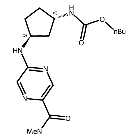 CCCCOC(=O)N[C@H]1CC[C@H](Nc2cnc(C(=O)NC)cn2)C1